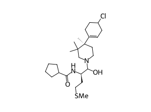 CSCC[C@@H](NC(=O)C1CCCC1)C(O)N1CC[C@](C)(C2=CCC(Cl)CC2)C(C)(C)C1